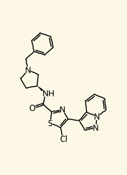 O=C(N[C@H]1CCN(Cc2ccccc2)C1)c1nc(-c2cnn3ccccc23)c(Cl)s1